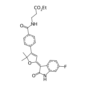 CCOC(=O)CCNC(=O)c1ccc(C2=CC(=C3C(=O)Nc4cc(F)ccc43)OC2(C)C)cc1